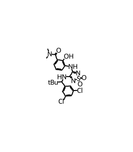 CN(C)C(=O)c1cccc(NC2=NS(=O)(=O)N=C2NC(c2cc(Cl)cc(Cl)c2)C(C)(C)C)c1O